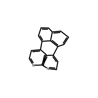 c1cc(-c2ccncc2)c2c(-c3ccncc3)cccc2c1